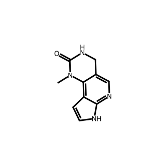 CN1C(=O)NCc2cnc3[nH]ccc3c21